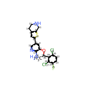 C[C@@H](Oc1cc(-c2cc3c(s2)CNCC3)cnc1N)c1c(Cl)ccc(F)c1Cl